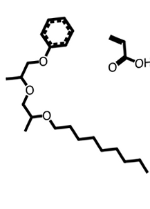 C=CC(=O)O.CCCCCCCCCOC(C)COC(C)COc1ccccc1